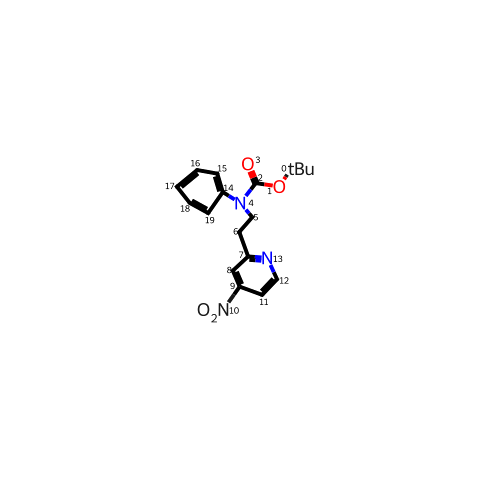 CC(C)(C)OC(=O)N(CCc1cc([N+](=O)[O-])ccn1)c1ccccc1